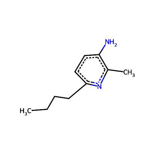 CCCCc1ccc(N)c(C)n1